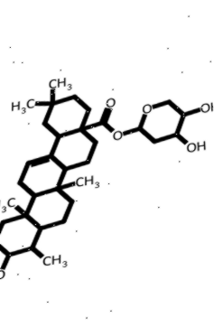 CC1C(O)CCC2(C)C1CCC1(C)C3CCC4(C(=O)OC5CC(O)C(O)CO5)CCC(C)(C)CC4C3=CCC12